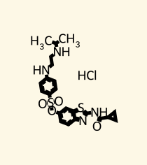 CC(C)NCCNc1ccc(S(=O)(=O)Oc2ccc3nc(NC(=O)C4CC4)sc3c2)cc1.Cl